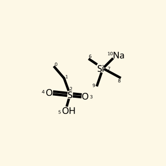 CCS(=O)(=O)O.C[Si](C)(C)[Na]